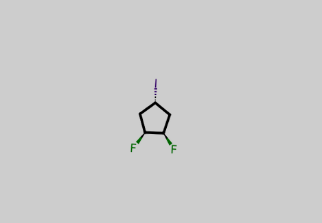 F[C@@H]1C[C@@H](I)C[C@@H]1F